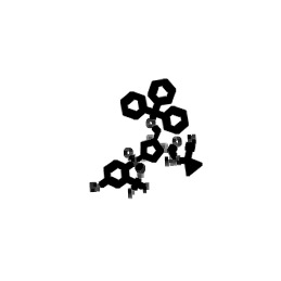 N#CC1(NC(=O)[C@@H]2C[C@@H](S(=O)(=O)c3ccc(Br)cc3C(F)(F)F)C[C@H]2COC(c2ccccc2)(c2ccccc2)c2ccccc2)CC1